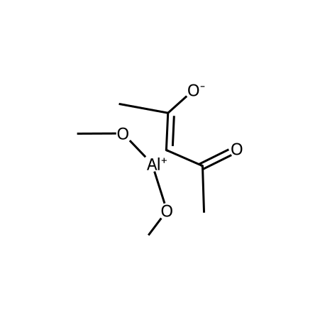 CC(=O)/C=C(/C)[O-].C[O][Al+][O]C